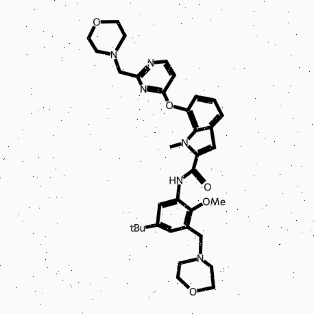 COc1c(CN2CCOCC2)cc(C(C)(C)C)cc1NC(=O)c1cc2cccc(Oc3ccnc(CN4CCOCC4)n3)c2n1C